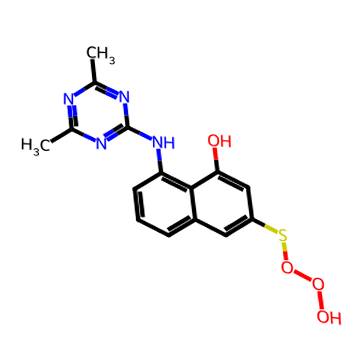 Cc1nc(C)nc(Nc2cccc3cc(SOOO)cc(O)c23)n1